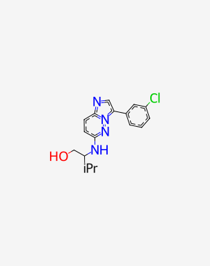 CC(C)C(CO)Nc1ccc2ncc(-c3cccc(Cl)c3)n2n1